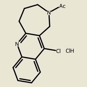 CC(=O)N1CCCc2nc3ccccc3c(Cl)c2C1.Cl